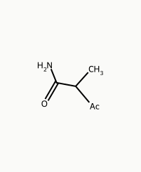 CC(=O)C(C)C(N)=O